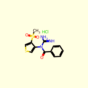 CS(=O)(=O)c1cscc1N(C(=N)N)C(=O)c1ccccc1.Cl